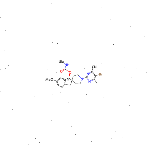 COc1ccc2c(c1)[C@@H](OC(=O)NC(C)(C)C)C1(CCN(c3nc(C)c(Br)c(C#N)n3)CC1)C2